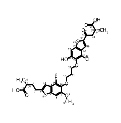 COc1cc2sc(CC[C@H](C)C(=O)O)cc2c(F)c1OCCCOc1c(O)cc2sc(C(=O)C[C@H](C)C(=O)O)cc2c1Cl